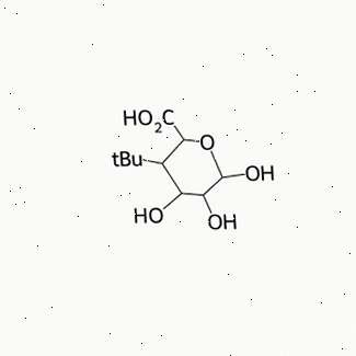 CC(C)(C)C1C(C(=O)O)OC(O)C(O)C1O